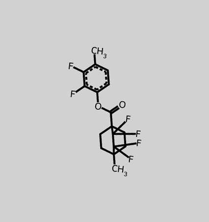 Cc1ccc(OC(=O)C23CCC(C)(CC2)C(F)(F)C3(F)F)c(F)c1F